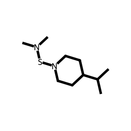 CC(C)C1CCN(SN(C)C)CC1